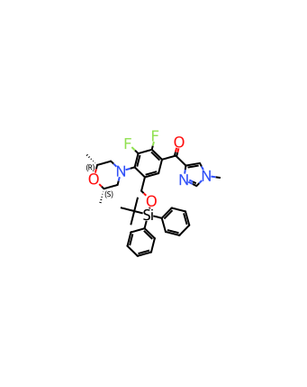 C[C@@H]1CN(c2c(CO[Si](c3ccccc3)(c3ccccc3)C(C)(C)C)cc(C(=O)c3cn(C)cn3)c(F)c2F)C[C@H](C)O1